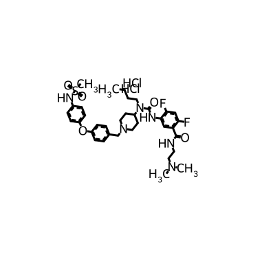 CCCCN(C(=O)Nc1cc(C(=O)NCCN(C)C)c(F)cc1F)C1CCN(Cc2ccc(Oc3ccc(NS(C)(=O)=O)cc3)cc2)CC1.Cl.Cl